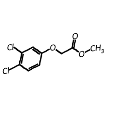 COC(=O)COc1ccc(Cl)c(Cl)c1